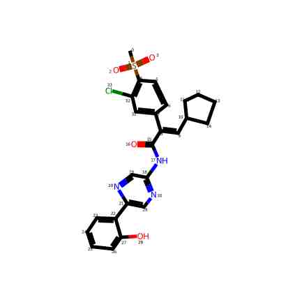 CS(=O)(=O)c1ccc(/C(=C\C2CCCC2)C(=O)Nc2cnc(-c3ccccc3O)cn2)cc1Cl